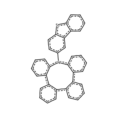 c1ccc2c(c1)sc1ccc(-n3c4ccccc4c4ccccc4c4ccccc4c4ccccc43)cc12